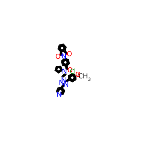 COc1ccc(-c2nc(-c3ccncc3)nn2CCN(C(=O)c2ccc(N3C(=O)c4ccccc4C3=O)cc2)C2CCCC2)cc1Cl